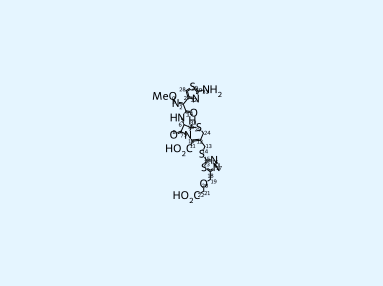 CON=C(C(=O)N[C@@H]1C(=O)N2C(C(=O)O)=C(CSc3nnc(COCC(=O)O)s3)CS[C@@H]12)c1csc(N)n1